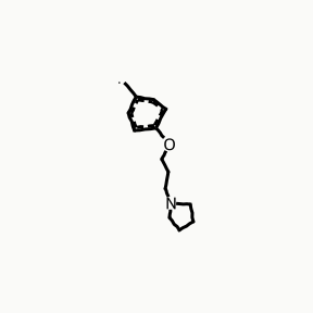 [CH2]c1ccc(OCCCN2CCCC2)cc1